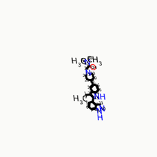 CCc1c(-c2cccc3[nH]ncc23)[nH]c2ccc(C3CCN(CC(=O)N(C)C)CC3)cc12